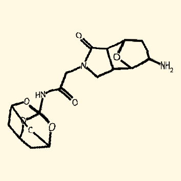 NC1CC2OC1C1CN(CC(=O)NC34OC5CC(CC(C5)O3)O4)C(=O)C21